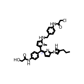 CCCc1cn(C2=N/C(=C(/c3ccc(NC(=O)CO)cc3)c3ccc(NCc4ccc(NC(=O)CCl)cc4)n3C)C=C2)[nH]1